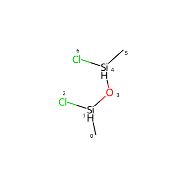 C[SiH](Cl)O[SiH](C)Cl